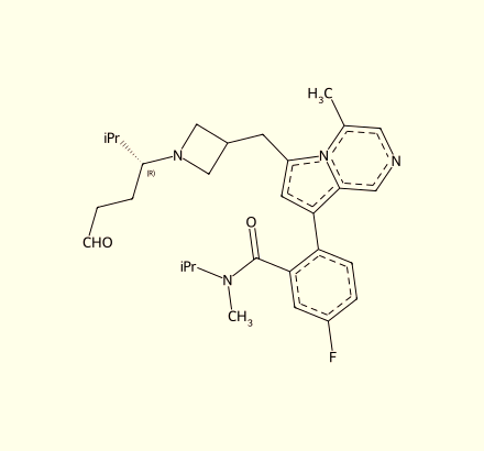 Cc1cncc2c(-c3ccc(F)cc3C(=O)N(C)C(C)C)cc(CC3CN([C@H](CCC=O)C(C)C)C3)n12